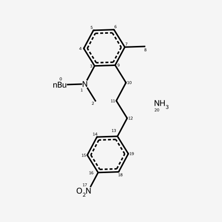 CCCCN(C)c1cccc(C)c1CCCc1ccc([N+](=O)[O-])cc1.N